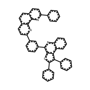 c1ccc(-c2ccc3ccc4ccc(-c5cccc(-c6nc7ccccc7c7c(-c8ccccc8)c(-c8ccccc8)sc67)c5)nc4c3n2)cc1